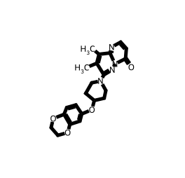 Cc1c(N2CCC(Oc3ccc4c(c3)OCCO4)CC2)nn2c(=O)ccnc2c1C